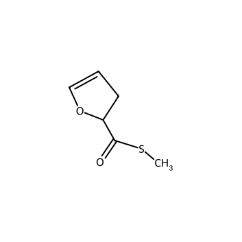 CSC(=O)C1CC=CO1